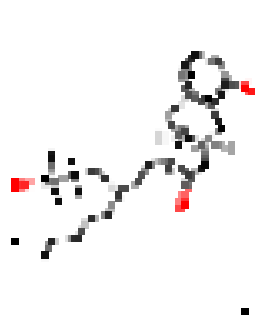 CCCCC[C@@H](CC[C@@H]1C(=O)C[C@@H]2Cc3c(O)cccc3C[C@@H]21)CC(C)(C)[Si](C)(C)O